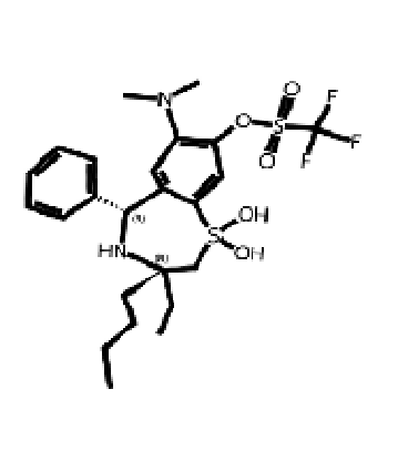 CCCC[C@]1(CC)CS(O)(O)c2cc(OS(=O)(=O)C(F)(F)F)c(N(C)C)cc2[C@@H](c2ccccc2)N1